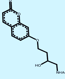 CC(=O)NCC(O)CCOc1ccc2ccc(=O)oc2c1